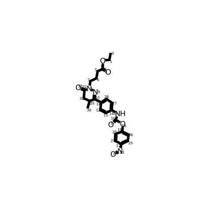 CCOC(=O)CCCN1N=C(c2ccc(NC(=O)Oc3ccc(N=O)cc3)cc2)C(C)CC1=O